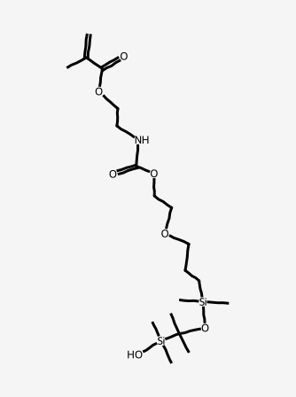 C=C(C)C(=O)OCCNC(=O)OCCOCCC[Si](C)(C)OC(C)(C)[Si](C)(C)O